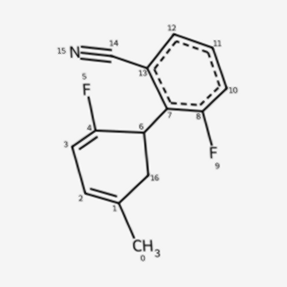 CC1=CC=C(F)C(c2c(F)cccc2C#N)C1